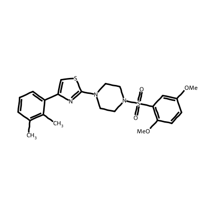 COc1ccc(OC)c(S(=O)(=O)N2CCN(c3nc(-c4cccc(C)c4C)cs3)CC2)c1